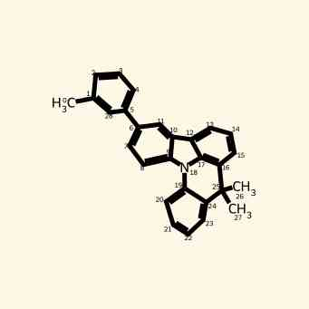 Cc1cccc(-c2ccc3c(c2)c2cccc4c2n3-c2ccccc2C4(C)C)c1